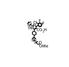 COC(=O)CC(C)(C)n1cc(C2CCC(C3=C(C(=O)O)C(c4ccc(F)c(F)c4Cl)N=C(c4nccs4)N3)CC2)cn1